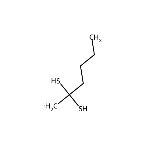 [CH2]C(S)(S)CCCC